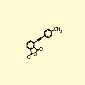 Cc1ccc(C#Cc2cccc3c2C(=O)OC3=O)cc1